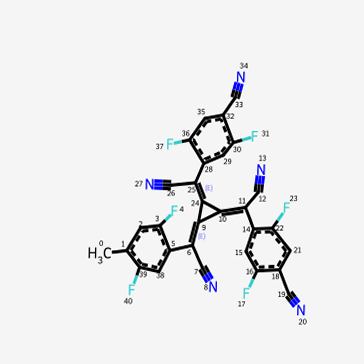 Cc1cc(F)c(/C(C#N)=C2/C(=C(C#N)c3cc(F)c(C#N)cc3F)/C2=C(/C#N)c2cc(F)c(C#N)cc2F)cc1F